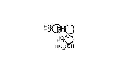 O=C(O)O.OC1(O)CCCCCCCCC1.OC1(O)CCCCCCCCC1.OC1(O)CCCCCCCCC1